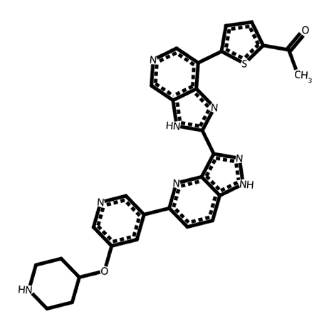 CC(=O)c1ccc(-c2cncc3[nH]c(-c4n[nH]c5ccc(-c6cncc(OC7CCNCC7)c6)nc45)nc23)s1